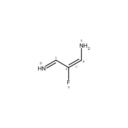 N=C/C(F)=C\N